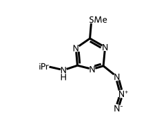 CSc1nc(N=[N+]=[N-])nc(NC(C)C)n1